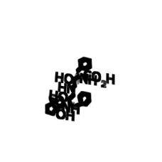 O=C(O)N[C@@H](Cc1ccccc1)[C@H](O)CNCC(O)[C@H](Cc1ccccc1)NC(=O)C1(O)CCCC12CC2